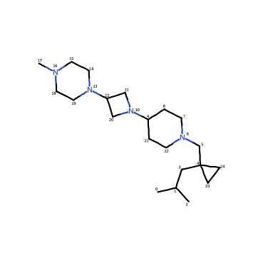 CC(C)CC1(CN2CCC(N3CC(N4CCN(C)CC4)C3)CC2)CC1